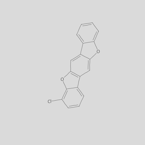 Clc1cccc2c1oc1cc3c(cc12)oc1ccccc13